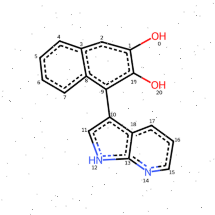 Oc1cc2ccccc2c(-c2c[nH]c3ncccc23)c1O